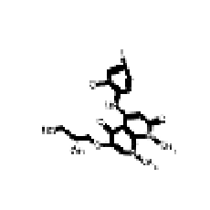 Cn1cc(OC[C@H](O)CO)c(=O)c2c(Nc3ccc(I)cc3Cl)cc(=O)n(C)c21